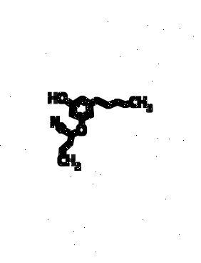 C=CCC(C#N)Oc1cc(O)cc(CCCCC)c1